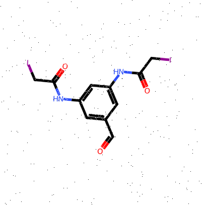 O=[C]c1cc(NC(=O)CI)cc(NC(=O)CI)c1